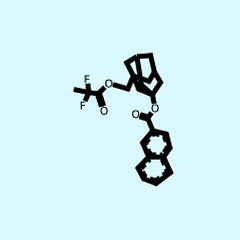 CC(F)(F)C(=O)OCC12CC3CC(C1)CC(OC(=O)c1ccc4ccccc4c1)(C3)C2